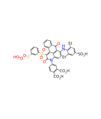 CCc1cc(S(=O)(=O)O)cc(CC)c1Nc1ccc2c3c1C(=O)c1ccccc1-c3c(S(=O)(=O)c1cccc(SOOO)c1)c(=O)n2-c1ccc(C(=O)O)c(C(=O)O)c1